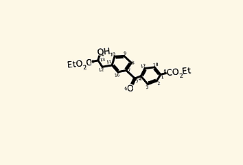 CCOC(=O)c1ccc(C(=O)c2cccc(CC(O)C(=O)OCC)c2)cc1